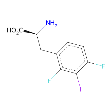 N[C@@H](Cc1ccc(F)c(I)c1F)C(=O)O